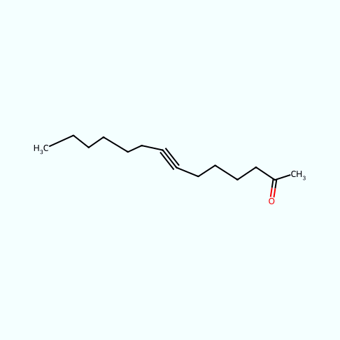 CCCCCCC#CCCCCC(C)=O